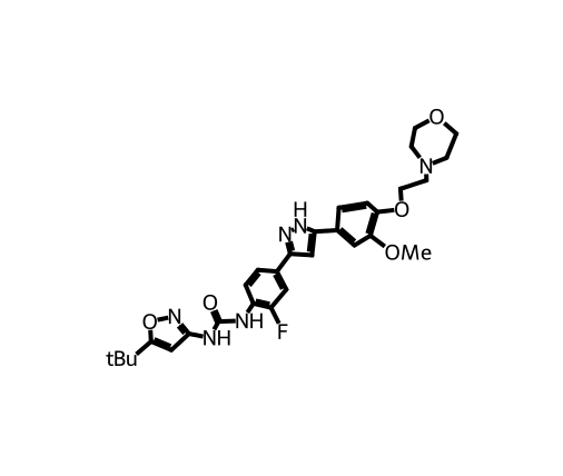 COc1cc(-c2cc(-c3ccc(NC(=O)Nc4cc(C(C)(C)C)on4)c(F)c3)n[nH]2)ccc1OCCN1CCOCC1